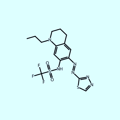 CCCN1CCCc2cc(N=Nc3nncs3)c(NS(=O)(=O)C(F)(F)F)cc21